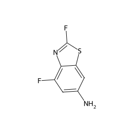 Nc1cc(F)c2nc(F)sc2c1